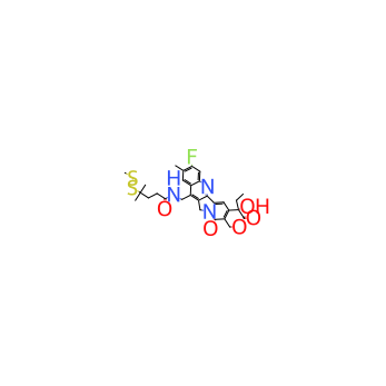 CC[C@@]1(O)C(=O)OCc2c1cc1n(c2=O)Cc2c-1nc1cc(F)c(C)cc1c2CNC(=O)CCC(C)(C)SSC